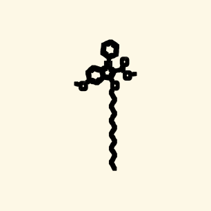 CCCCCCCCCCCCOc1c(C(=O)OC)n(-c2ccccc2)c2ccc(OC)cc12